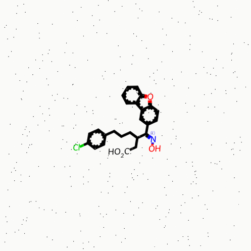 O=C(O)CC(CCCc1ccc(Cl)cc1)/C(=N\O)c1ccc2oc3ccccc3c2c1